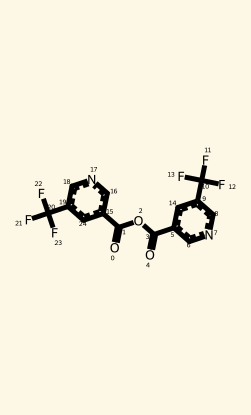 O=C(OC(=O)c1cncc(C(F)(F)F)c1)c1cncc(C(F)(F)F)c1